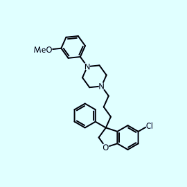 COc1cccc(N2CCN(CCCC3(c4ccccc4)COc4ccc(Cl)cc43)CC2)c1